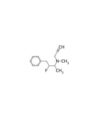 C#CCN(C)C(C)C(F)Cc1ccccc1